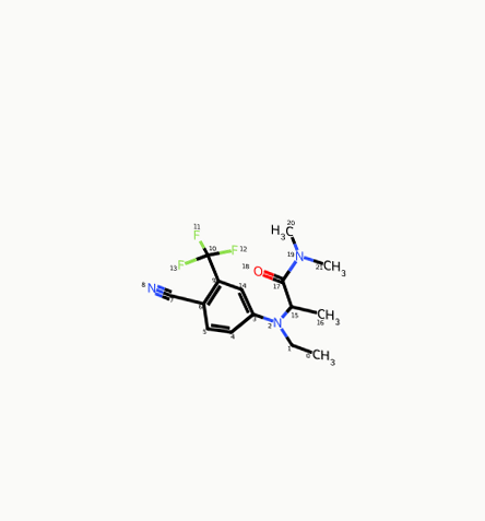 CCN(c1ccc(C#N)c(C(F)(F)F)c1)C(C)C(=O)N(C)C